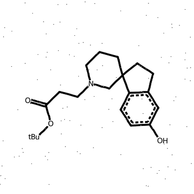 CC(C)(C)OC(=O)CCN1CCCC2(CCc3cc(O)ccc32)C1